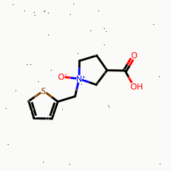 O=C(O)C1CC[N+]([O-])(Cc2cccs2)C1